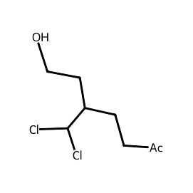 CC(=O)CCC(CCO)C(Cl)Cl